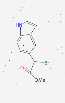 COC(=O)C(Br)c1ccc2[nH]ccc2c1